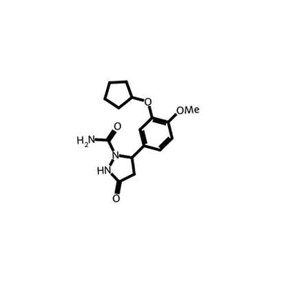 COc1ccc(C2CC(=O)NN2C(N)=O)cc1OC1CCCC1